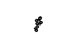 CC1(C)c2ccccc2C2=CC=C(c3cccc4c3oc3cccc(-n5c6ccccc6c6ccccc65)c34)CC21